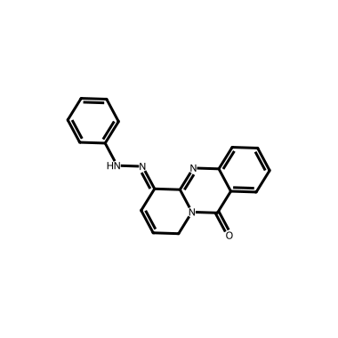 O=c1c2ccccc2nc2n1CC=CC2=NNc1ccccc1